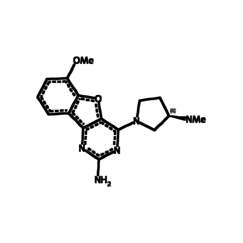 CN[C@@H]1CCN(c2nc(N)nc3c2oc2c(OC)cccc23)C1